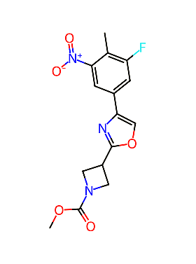 COC(=O)N1CC(c2nc(-c3cc(F)c(C)c([N+](=O)[O-])c3)co2)C1